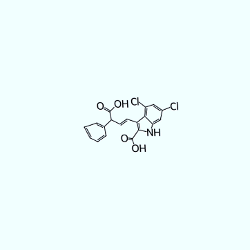 O=C(O)c1[nH]c2cc(Cl)cc(Cl)c2c1/C=C/C(C(=O)O)c1ccccc1